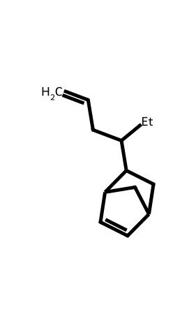 C=CCC(CC)C1CC2C=CC1C2